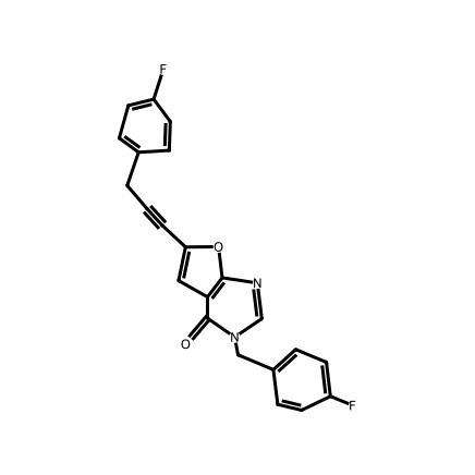 O=c1c2cc(C#CCc3ccc(F)cc3)oc2ncn1Cc1ccc(F)cc1